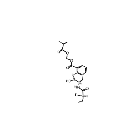 CCC(F)(F)C(=O)N[C@H]1Cc2cccc(C(=O)OCOC(=O)C(C)C)c2OB1O